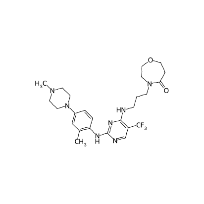 Cc1cc(N2CCN(C)CC2)ccc1Nc1ncc(C(F)(F)F)c(NCCCN2CCOCCC2=O)n1